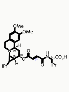 COc1cc2c(cc1OC)[C@H]1C[C@@H](OC(=O)/C=C/C(=O)N[C@H](C(=O)O)C(C)C)[C@@H]3C(C(C)C)C3N1CC2